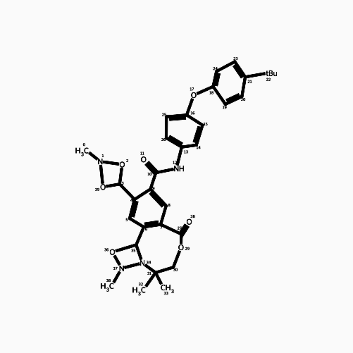 CN1OC(c2cc3c(cc2C(=O)Nc2ccc(Oc4ccc(C(C)(C)C)cc4)cc2)C(=O)OCC(C)(C)N2C3ON2C)O1